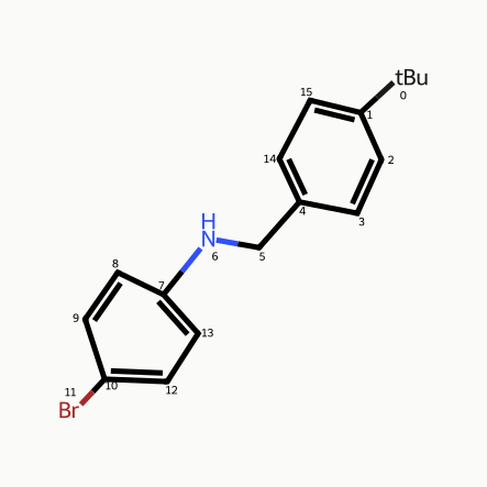 CC(C)(C)c1ccc(CNc2ccc(Br)cc2)cc1